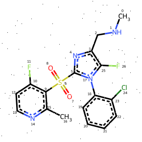 CNCc1nc(S(=O)(=O)c2c(F)ccnc2C)n(-c2ccccc2Cl)c1F